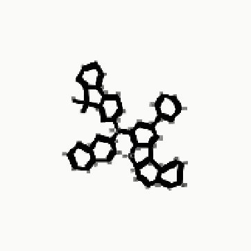 CC1(C)c2ccccc2-c2ccc(N(c3ccc4ccccc4c3)c3cc(-c4ccccc4)cc4c3oc3ccc5ccccc5c34)cc21